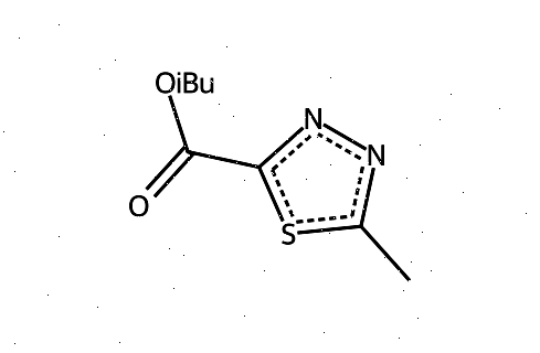 Cc1nnc(C(=O)OCC(C)C)s1